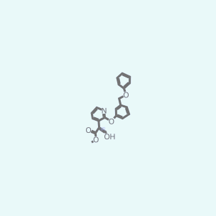 COC(=O)/C(=C\O)c1cccnc1Oc1cccc(COc2ccccc2)c1